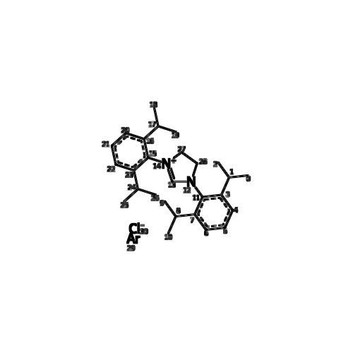 CC(C)c1cccc(C(C)C)c1N1C=[N+](c2c(C(C)C)cccc2C(C)C)CC1.[Ar].[Cl-]